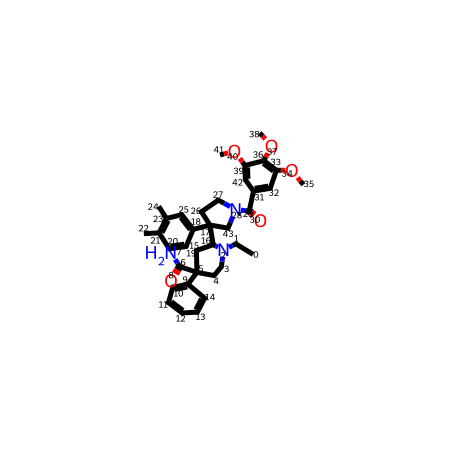 CCN1CCC(C(N)=O)(c2ccccc2)CC1C1(c2ccc(C)c(C)c2)CCN(C(=O)c2cc(OC)c(OC)c(OC)c2)C1